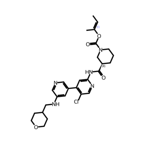 C/C=C(\C)OC(=O)N1CCC[C@@H](C(=O)Nc2cc(-c3cncc(NCC4CCOCC4)c3)c(Cl)cn2)C1